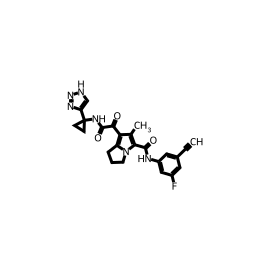 C#Cc1cc(F)cc(NC(=O)c2c(C)c(C(=O)C(=O)NC3(c4c[nH]nn4)CC3)c3n2CCC3)c1